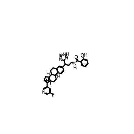 C[C@]12CC[C@@H]3c4ccc(C(CCNC(=O)c5ccccc5O)c5nn[nH]n5)cc4CC[C@H]3[C@@H]1CC=C2c1cncc(F)c1